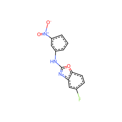 O=[N+]([O-])c1cccc(Nc2nc3cc(F)ccc3o2)c1